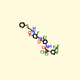 O=C(CCSc1ccccc1)Nc1c(F)ccc(NC(=O)c2cc(NC(=O)[C@H]3[C@H](c4ccc(F)c(C(F)(F)F)c4)C3(Cl)Cl)ccc2Cl)c1F